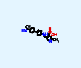 CC(=N)c1ccc(-c2ccc(NCc3cnc(C)c(O)c3CO)cc2)cc1